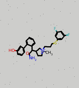 C[N@@+]1(CCCSc2cc(F)cc(F)c2)CCC(C(C(N)=O)c2ccccc2-c2cccc(O)c2)C1